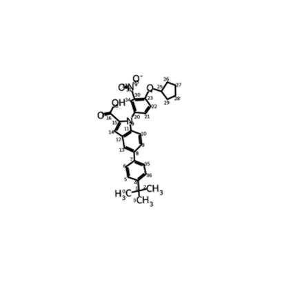 CC(C)(C)c1ccc(-c2ccc3c(c2)cc(C(=O)O)n3-c2ccc(OC3CCCC3)c([N+](=O)[O-])c2)cc1